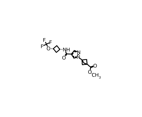 COC(=O)C12CC(n3cc(C(=O)N[C@H]4C[C@@H](OC(F)(F)F)C4)cn3)(C1)C2